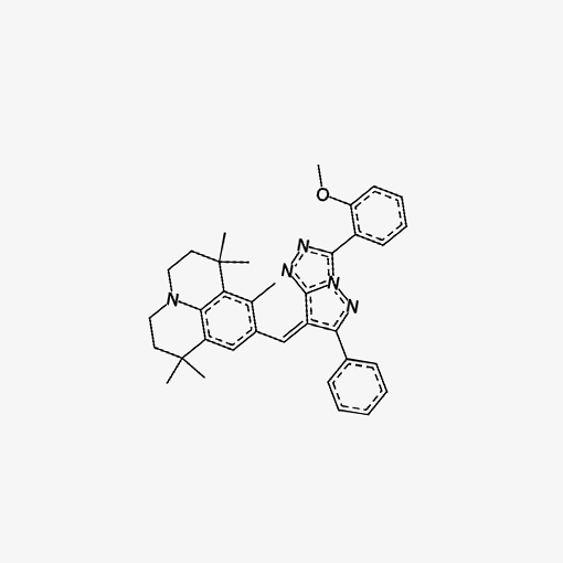 COc1ccccc1-c1nnc2/c(=C\c3cc4c5c(c3C)C(C)(C)CCN5CCC4(C)C)c(-c3ccccc3)nn12